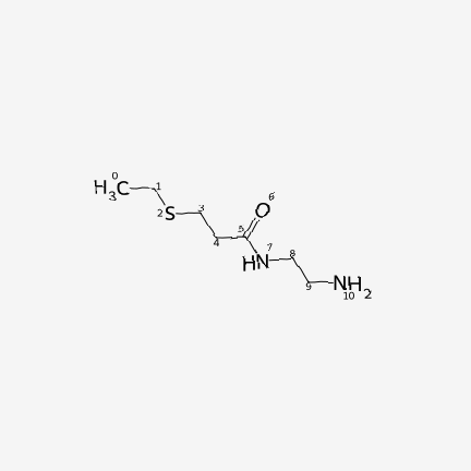 CCSCCC(=O)NCCN